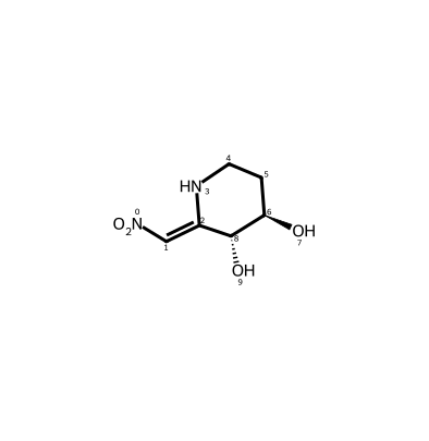 O=[N+]([O-])/C=C1\NCC[C@@H](O)[C@@H]1O